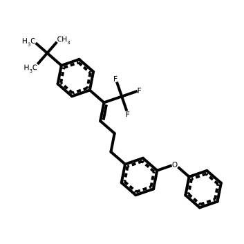 CC(C)(C)c1ccc(C(=CCCc2cccc(Oc3ccccc3)c2)C(F)(F)F)cc1